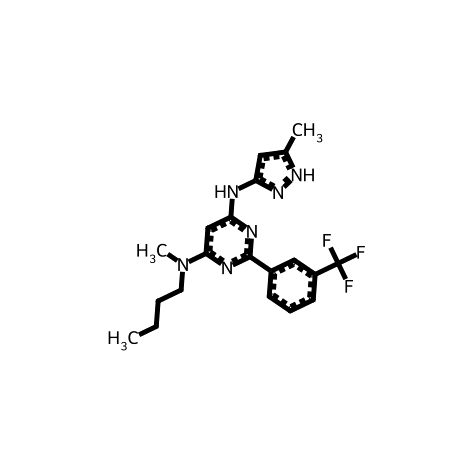 CCCCN(C)c1cc(Nc2cc(C)[nH]n2)nc(-c2cccc(C(F)(F)F)c2)n1